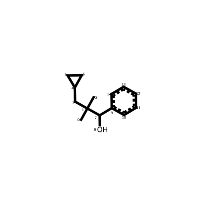 CC(C)(CC1CC1)C(O)c1ccccc1